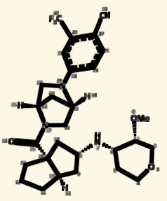 CO[C@@H]1COCC[C@@H]1N[C@@H]1C[C@H]2CCC[C@@]2(C(=O)N2C[C@@H]3C[C@H]2CN3c2ccc(C#N)c(C(F)(F)F)c2)C1